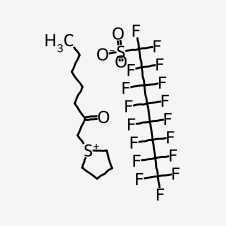 CCCCCC(=O)C[S+]1CCCC1.O=S(=O)([O-])C(F)(F)C(F)(F)C(F)(F)C(F)(F)C(F)(F)C(F)(F)C(F)(F)C(F)(F)F